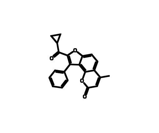 Cc1cc(=O)oc2c1ccc1oc(C(=O)C3CC3)c(-c3ccccc3)c12